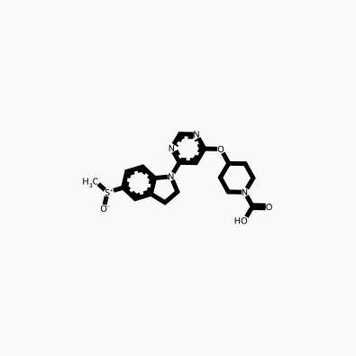 C[S+]([O-])c1ccc2c(c1)CCN2c1cc(OC2CCN(C(=O)O)CC2)ncn1